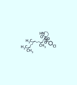 CC(C)=CCCC(C)=CCCC(C)=CCN([C@@H]1CCCCNC1=O)S(=O)(=O)c1ccc(Cl)cc1